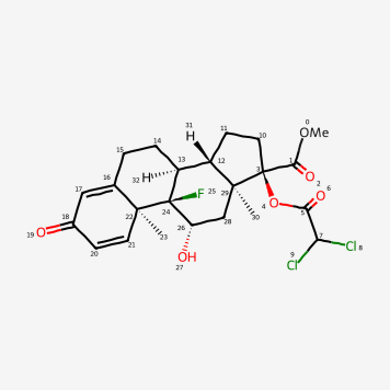 COC(=O)[C@@]1(OC(=O)C(Cl)Cl)CC[C@H]2[C@@H]3CCC4=CC(=O)C=C[C@]4(C)[C@@]3(F)[C@@H](O)C[C@@]21C